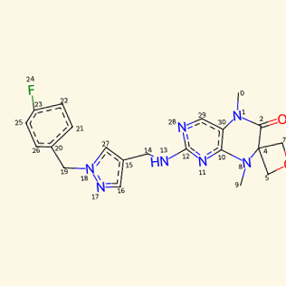 CN1C(=O)C2(COC2)N(C)c2nc(NCc3cnn(Cc4ccc(F)cc4)c3)ncc21